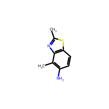 Cc1nc2c(C)c(N)ccc2s1